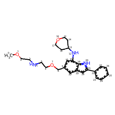 COCCNCCOCc1cc(NC2CCOCC2)c2[nH]c(-c3ccccc3)cc2c1